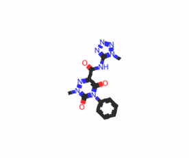 Cn1nnnc1NC(=O)c1nn(C)c(=O)n(-c2ccccc2)c1=O